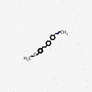 C=CCOCc1ccc(CCC2CCC([C@H]3CC[C@H](C/C=C/C)CC3)CC2)cc1